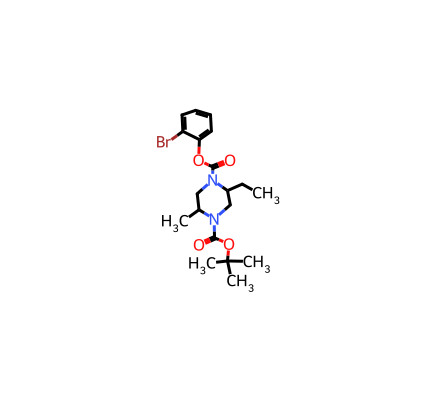 CCC1CN(C(=O)OC(C)(C)C)C(C)CN1C(=O)Oc1ccccc1Br